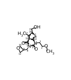 COCCn1c(=O)n(CC2COC2)c(=O)c2c(C)c(CO)sc21